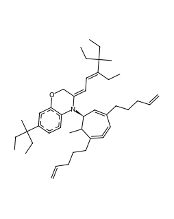 C=CCCCC1=C=CC(CCCC=C)=C[C@H](N2/C(=C/C=C(\CC)C(C)(CC)CC)COc3cc(C(C)(CC)CC)ccc32)C1C